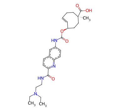 CCN(CC)CCNC(=O)c1ccc2cc(NC(=O)O[C@H]3/C=C/CC[C@@](C)(C(=O)O)CC3)ccc2n1